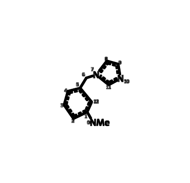 CNc1cccc(Cn2ccnc2)c1